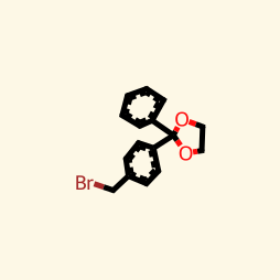 BrCc1ccc(C2(c3ccccc3)OCCO2)cc1